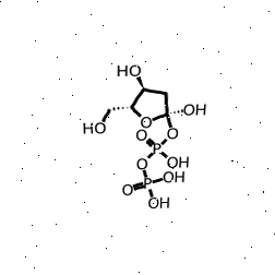 O=P(O)(O)OP(=O)(O)O[C@]1(O)C[C@H](O)[C@@H](CO)O1